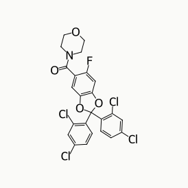 O=C(c1cc2c(cc1F)OC(c1ccc(Cl)cc1Cl)(c1ccc(Cl)cc1Cl)O2)N1CCOCC1